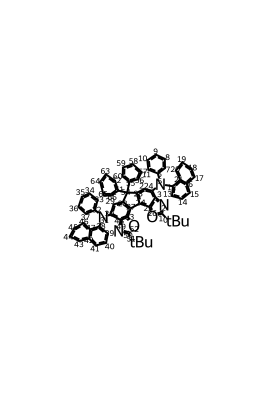 CC(C)(C)c1nc2c(N(c3ccccc3)c3cccc4ccccc34)cc3c(c2o1)-c1c(cc(N(c2ccccc2)c2cccc4ccccc24)c2nc(C(C)(C)C)oc12)C3(c1ccccc1)c1ccccc1